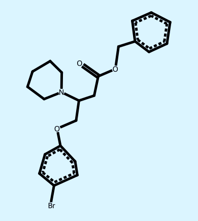 O=C(CC(COc1ccc(Br)cc1)N1CCCCC1)OCc1ccccc1